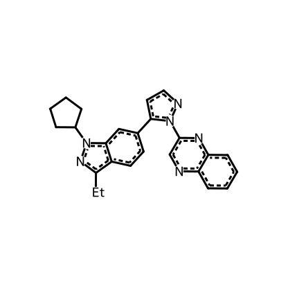 CCc1nn(C2CCCC2)c2cc(-c3ccnn3-c3cnc4ccccc4n3)ccc12